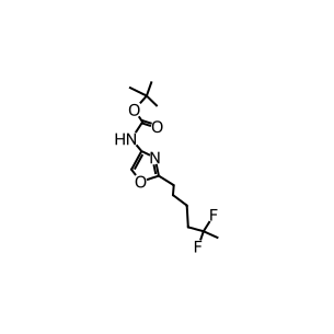 CC(F)(F)CCCCc1nc(NC(=O)OC(C)(C)C)co1